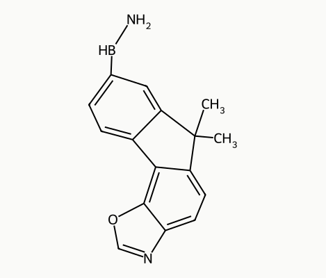 CC1(C)c2cc(BN)ccc2-c2c1ccc1ncoc21